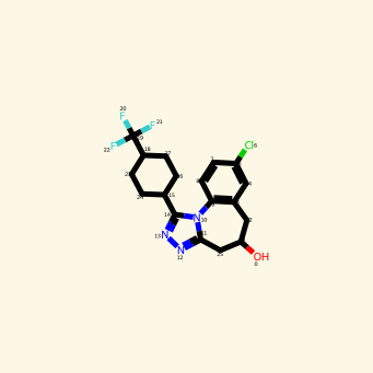 OC1Cc2cc(Cl)ccc2-n2c(nnc2C2CCC(C(F)(F)F)CC2)C1